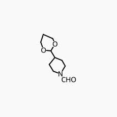 O=CN1CCC(C2OCCCO2)CC1